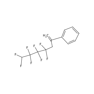 C=C(CC(F)(F)C(F)(F)C(F)(F)C(F)F)c1ccccc1